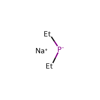 CC[P-]CC.[Na+]